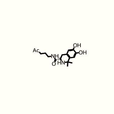 CC(=O)CCCNC(=O)[C@@H]1Cc2cc(O)c(O)cc2C(C)(C)N1